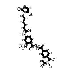 C/C(=N\NC(=O)c1ccc(NC(=O)CCCCCN2C(=O)C=CC2=O)cc1[N+](=O)[O-])c1ccc(C(=O)N(C)C(C)C(C)C)cc1